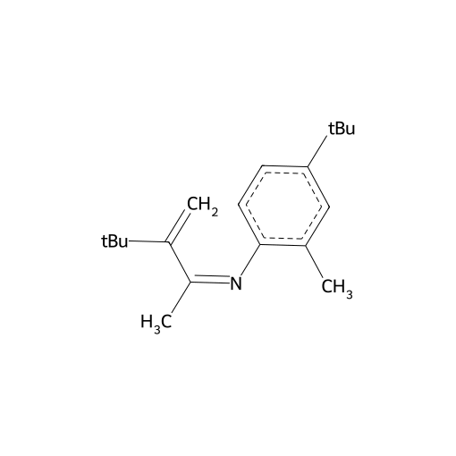 C=C(/C(C)=N\c1ccc(C(C)(C)C)cc1C)C(C)(C)C